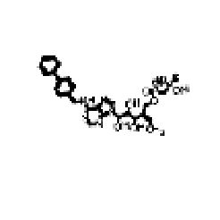 C/C=C(/COP(=O)(O)CP(=O)(O)O)[C@@H](O)[C@@H](O)[C@@H](O)n1cnc2c(NCc3ccc(-c4ccccc4)cc3)ncnc21